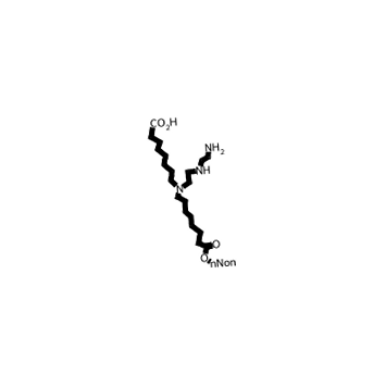 CCCCCCCCCOC(=O)CCCCCCCN(CCCCCCCC(=O)O)CCNCCN